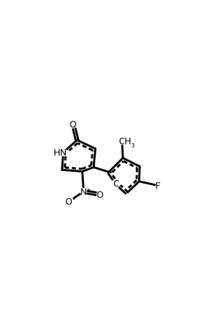 Cc1cc(F)ccc1-c1cc(=O)[nH]cc1[N+](=O)[O-]